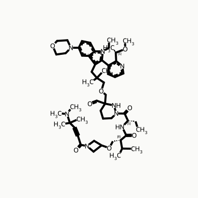 CC[C@H](NC(=O)[C@@H](COC1CN(C(=O)C#CC(C)(C)N(C)C)C1)C(C)C)C(=O)N1CCCC(C=O)(COCC(C)(C)Cc2c(-c3cccnc3[C@H](C)OC)n(CC)c3ccc(N4CCOCC4)cc23)N1